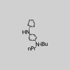 CCCN(c1ccc(Nc2ccccc2)cc1)C(C)CC